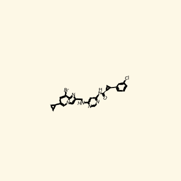 O=C(Nc1cc(NCc2cn3cc(C4CC4)cc(Br)c3n2)ncn1)[C@H]1CC1c1cccc(Cl)c1